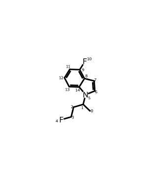 CC(CCF)n1ccc2c(F)cccc21